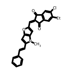 CCc1cc2c(cc1Cl)C(=O)/C(=C/c1cc3c(cc(/C=C/c4ccccc4)n3C)o1)C2=O